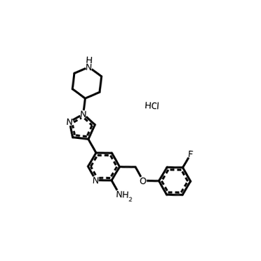 Cl.Nc1ncc(-c2cnn(C3CCNCC3)c2)cc1COc1cccc(F)c1